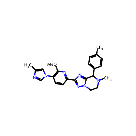 COc1nc(-c2nc3n(n2)CCN(C)C3c2ccc(C(F)(F)F)cc2)ccc1-n1cnc(C)c1